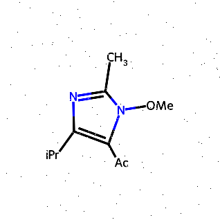 COn1c(C)nc(C(C)C)c1C(C)=O